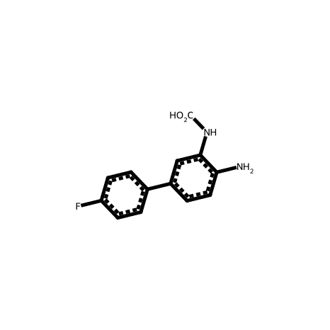 Nc1ccc(-c2ccc(F)cc2)cc1NC(=O)O